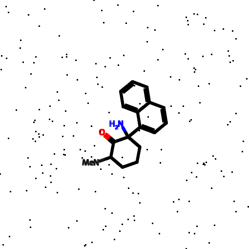 CNC1CCCC(N)(c2cccc3ccccc23)C1=O